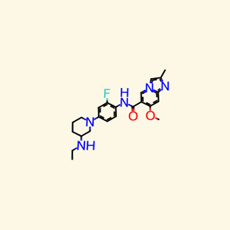 CCNC1CCCN(c2ccc(NC(=O)c3cn4cc(C)nc4cc3OC)c(F)c2)C1